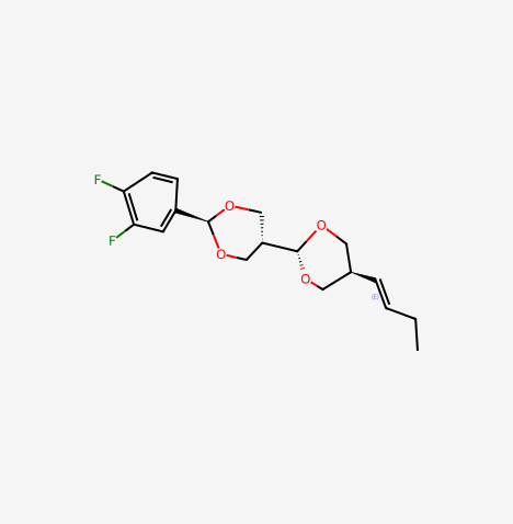 CC/C=C/[C@H]1CO[C@H]([C@H]2CO[C@H](c3ccc(F)c(F)c3)OC2)OC1